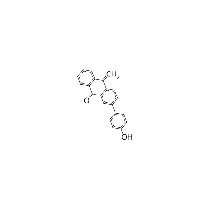 C=C1c2ccccc2C(=O)c2cc(-c3ccc(O)cc3)ccc21